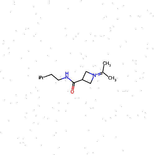 CC(C)=[N+]1CC(C(=O)NCCC(C)C)C1